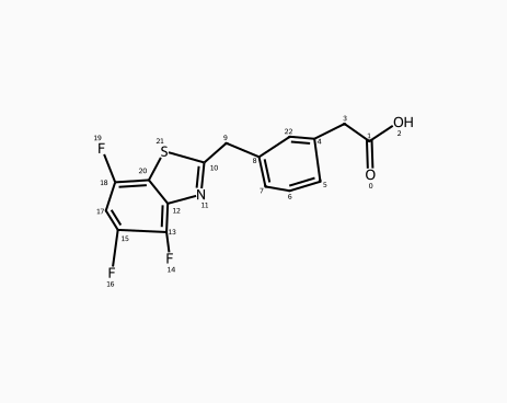 O=C(O)Cc1cccc(Cc2nc3c(F)c(F)cc(F)c3s2)c1